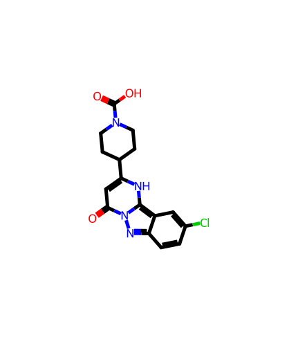 O=C(O)N1CCC(c2cc(=O)n3nc4ccc(Cl)cc4c3[nH]2)CC1